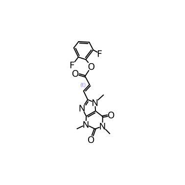 Cn1c(=O)c2c(nc(/C=C/C(=O)Oc3c(F)cccc3F)n2C)n(C)c1=O